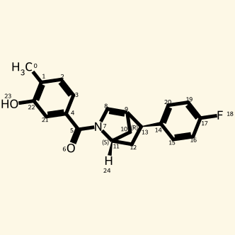 Cc1ccc(C(=O)N2C=C3C[C@@H]2C[C@@H]3c2ccc(F)cc2)cc1O